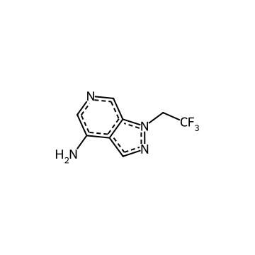 Nc1cncc2c1cnn2CC(F)(F)F